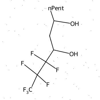 CCCCCC(O)CC(O)C(F)(F)C(F)(F)C(F)(F)F